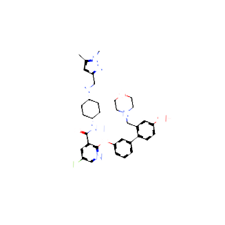 Cc1cc(CN[C@H]2CC[C@@H](NC(=O)c3cc(F)cnc3Oc3cccc(-c4ccc(O)cc4CN4CCOCC4)c3)CC2)nn1C